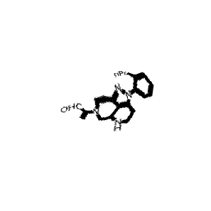 C=C(C=O)N1CCc2nn(-c3ccccc3CCC)c3c2C(C1)NCC3